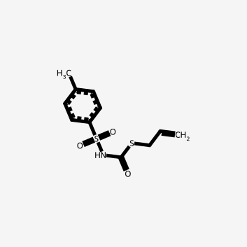 C=CCSC(=O)NS(=O)(=O)c1ccc(C)cc1